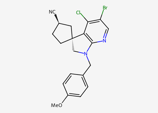 COc1ccc(CN2C[C@@]3(CC[C@@H](C#N)C3)c3c2ncc(Br)c3Cl)cc1